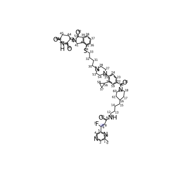 Cc1cncc(/C(F)=C/C(=O)NCCCCC2CCN(C(=O)c3ccc(N4CCN(CCCCSc5cccc6c5CN(C5CCC(=O)NC5=O)C6=O)CC4)c(C4CC4)c3)CC2)n1